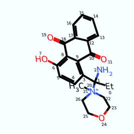 CCC(N)(c1ccc(O)c2c1C(=O)c1ccccc1C2=O)[N+]1(C)CCOCC1